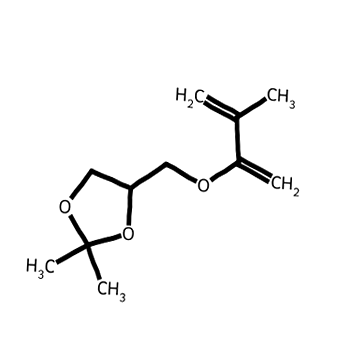 C=C(C)C(=C)OCC1COC(C)(C)O1